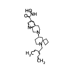 C=C/C=C(\C=C)CN1CC[C@@H](N2CCc3cc(C(=O)NO)cnc3C2)CC12CCC2